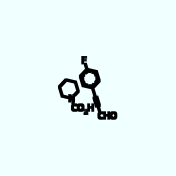 O=C(O)N1CCCCC1.O=CC#Cc1ccc(F)cc1